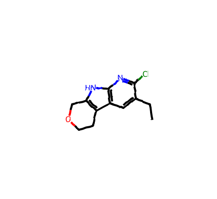 CCc1cc2c3c([nH]c2nc1Cl)COCC3